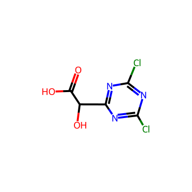 O=C(O)C(O)c1nc(Cl)nc(Cl)n1